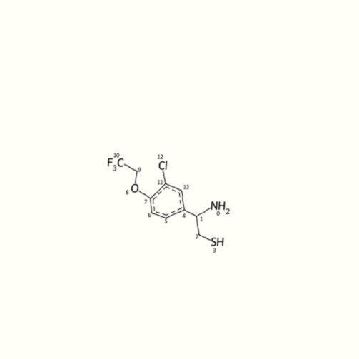 NC(CS)c1ccc(OCC(F)(F)F)c(Cl)c1